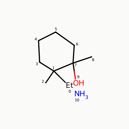 CCC1(C)CCCCC1(C)O.N